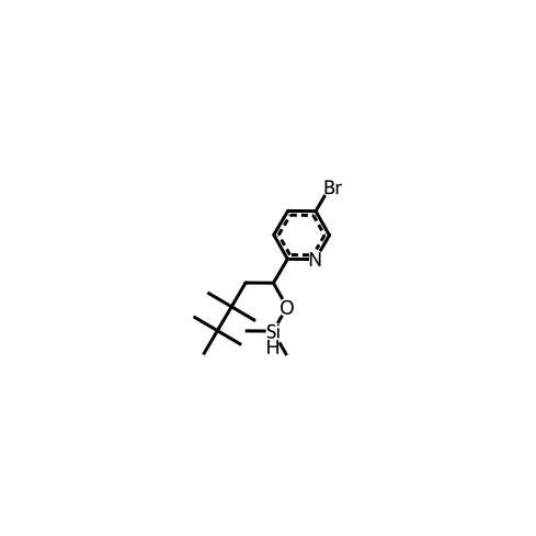 C[SiH](C)OC(CC(C)(C)C(C)(C)C)c1ccc(Br)cn1